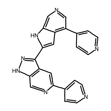 c1cc(-c2cc3c(-c4cc5c(-c6ccncc6)cncc5[nH]4)n[nH]c3cn2)ccn1